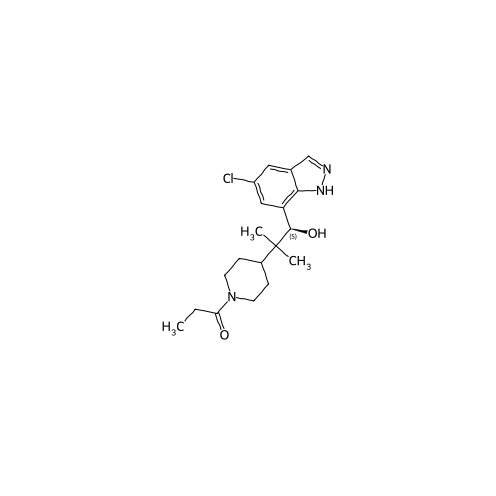 CCC(=O)N1CCC(C(C)(C)[C@H](O)c2cc(Cl)cc3cn[nH]c23)CC1